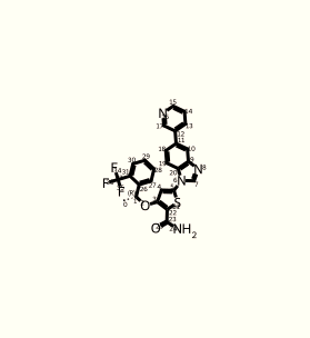 C[C@@H](Oc1cc(-n2cnc3cc(-c4cccnc4)ccc32)sc1C(N)=O)c1ccccc1C(F)(F)F